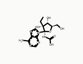 CC[C@@]1(O)[C@H](O)[C@@H](CO)O[C@@]1(NC(=O)O)n1cnc2c(N)ncnc21